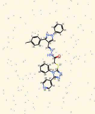 Cc1ccc(-c2nn(-c3ccccc3)cc2/C=N/NC(=O)CSc2nnc(-c3ccncc3)n2-c2ccccc2)cc1